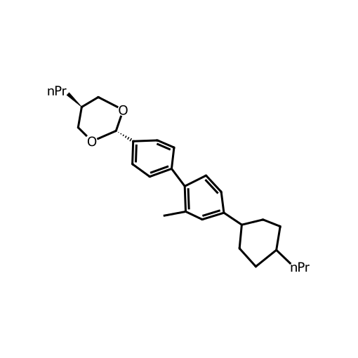 CCCC1CCC(c2ccc(-c3ccc([C@H]4OC[C@H](CCC)CO4)cc3)c(C)c2)CC1